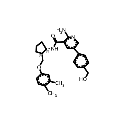 Cc1ccc(OC[C@H]2CCC[C@@H]2NC(=O)c2cc(-c3ccc(CO)cc3)cnc2N)cc1C